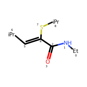 CCNC(=O)/C(=C/C(C)C)SC(C)C